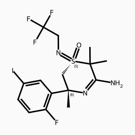 CC1(C)C(N)=N[C@](C)(c2cc(I)ccc2F)C[S@@]1(=O)=NCC(F)(F)F